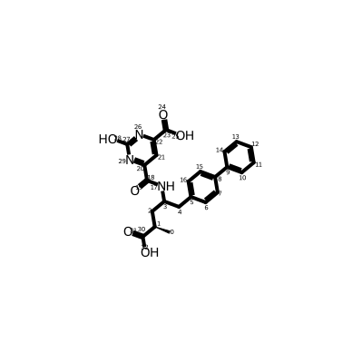 C[C@H](CC(Cc1ccc(-c2ccccc2)cc1)NC(=O)c1cc(C(=O)O)nc(O)n1)C(=O)O